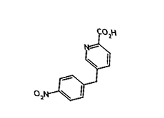 O=C(O)c1ccc(Cc2ccc([N+](=O)[O-])cc2)cn1